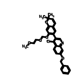 COCCOCOc1cc2c(cc1-c1cnc3cc(OCc4ccccc4)ccc3c1Cl)C=CC(C)(C)O2